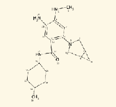 CNc1cc(N2CC3CC3C2)c(C(=O)N[C@H]2CC[C@@H](C)CC2)cc1N